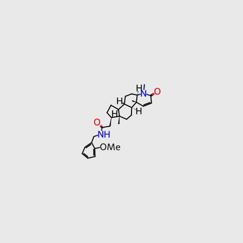 COc1ccccc1CNC(=O)C[C@H]1CC[C@H]2[C@@H]3CC[C@H]4N(C)C(=O)C=C[C@]4(C)[C@H]3CC[C@]12C